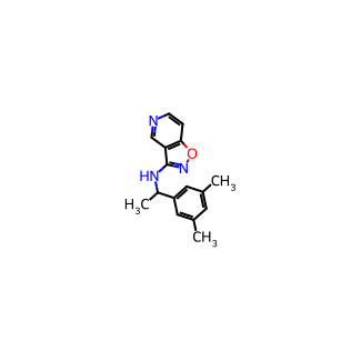 Cc1cc(C)cc(C(C)Nc2noc3ccncc23)c1